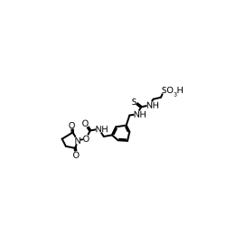 O=C(NCc1cccc(CNC(=S)NCCS(=O)(=O)O)c1)ON1C(=O)CCC1=O